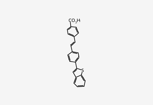 O=C(O)c1ccc(C=Cc2ccc(-c3cc4ccccc4s3)cc2)cc1